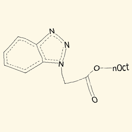 CCCCCCCCOC(=O)Cn1nnc2ccccc21